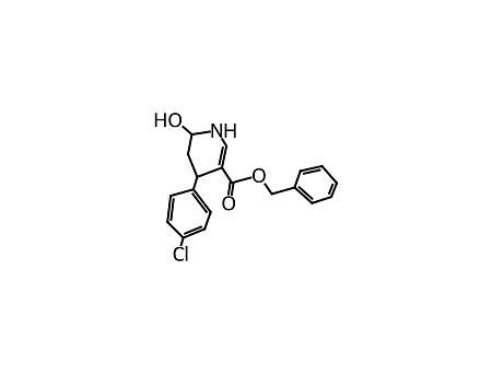 O=C(OCc1ccccc1)C1=CNC(O)CC1c1ccc(Cl)cc1